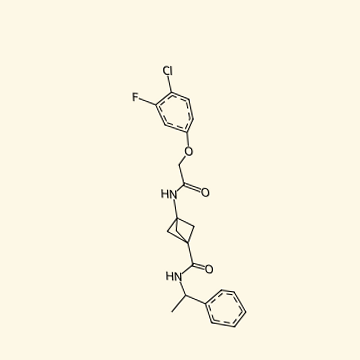 CC(NC(=O)C12CC(NC(=O)COc3ccc(Cl)c(F)c3)(C1)C2)c1ccccc1